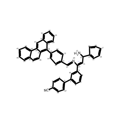 N#Cc1ccc(-c2cccc(C(=C/C(N)c3ccccc3)/N=C/c3ccc(-c4c5ccccc5cc5c4ccc4ccccc45)cc3)c2)cc1